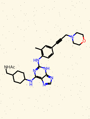 CC(=O)NCC1CCC(Nc2nc(Nc3ccc(C#CCN4CCOCC4)cc3C)[nH]c3ncnc2-3)CC1